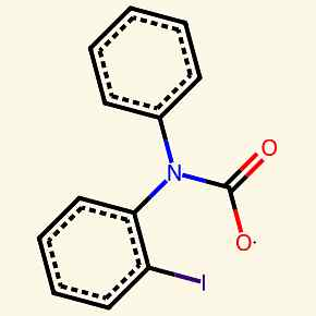 [O]C(=O)N(c1ccccc1)c1ccccc1I